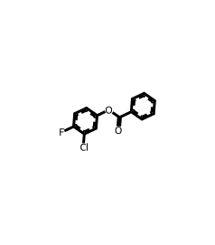 O=C(Oc1ccc(F)c(Cl)c1)c1ccccc1